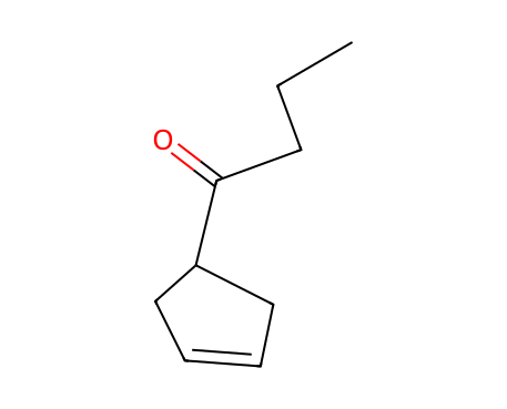 CCCC(=O)C1CC=CC1